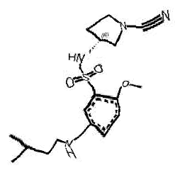 COc1ccc(NCCC(C)C)cc1S(=O)(=O)N[C@@H]1CCN(C#N)C1